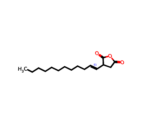 CCCCCCCCCC/C=C/C1CC(=O)OC1=O